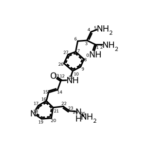 N=C(N)/C(=C\N)Cc1ccc(NC(=O)/C=C/c2cnccc2/C=C/NN)cc1